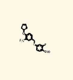 O=Cc1ccc(OCc2ccc(OC3CCCC3)c(C(F)(F)F)c2)cc1F